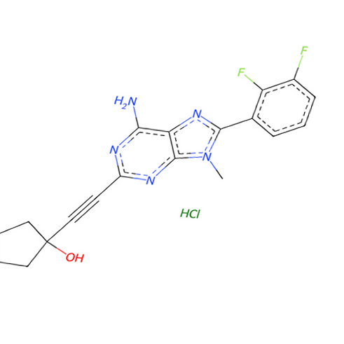 Cl.Cn1c(-c2cccc(F)c2F)nc2c(N)nc(C#CC3(O)CCCC3)nc21